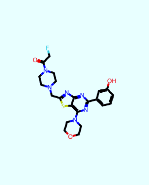 O=C(CF)N1CCN(Cc2nc3nc(-c4cccc(O)c4)nc(N4CCOCC4)c3s2)CC1